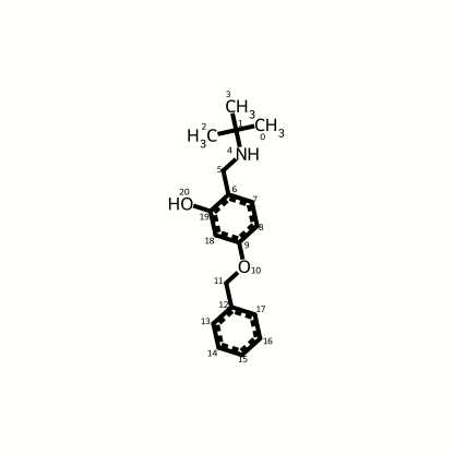 CC(C)(C)NCc1ccc(OCc2ccccc2)cc1O